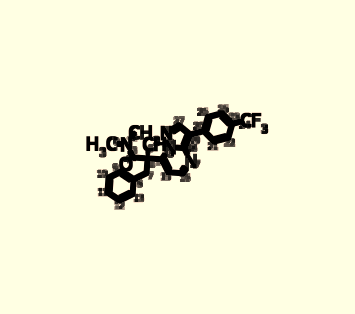 CN(C)C(=O)[C@@](C)(Cc1ccccc1)c1ccnc2c(-c3ccc(C(F)(F)F)cc3)cnn12